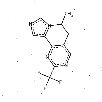 CC1Cc2cnc(C(F)(F)F)nc2-c2cncn21